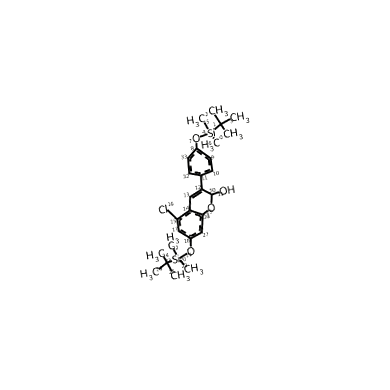 CC(C)(C)[Si](C)(C)Oc1ccc(C2=Cc3c(Cl)cc(O[Si](C)(C)C(C)(C)C)cc3OC2O)cc1